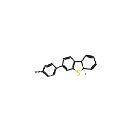 Cc1ccc(-c2ccc3c(c2)S[C@]2(C)C=CC=CC32)cc1